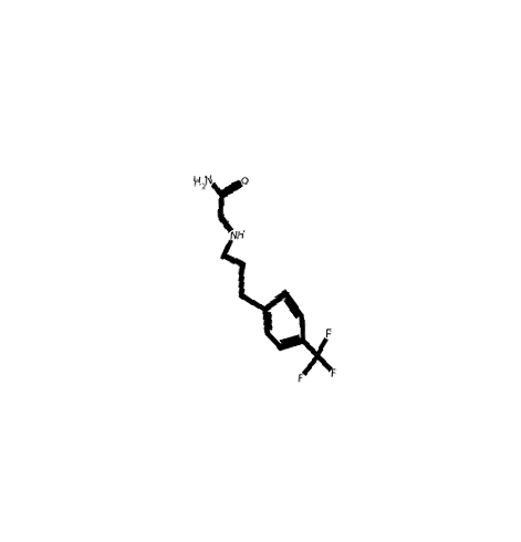 NC(=O)CNCCCc1ccc(C(F)(F)F)cc1